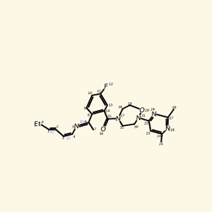 CC/C=C/C=C\N=C(/C)c1ccc(F)cc1C(=O)N1CCON(c2cc(C)nc(C)n2)CC1